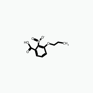 CCCOc1cccc(C(=O)O)c1[N+](=O)[O-]